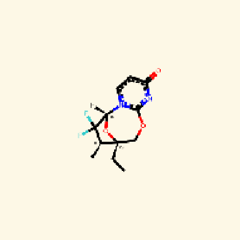 CC[C@]12COc3nc(=O)ccn3[C@H](O1)C(F)(F)[C@@H]2C